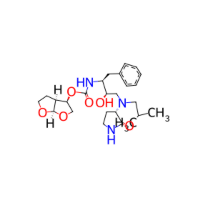 CC(C)CN(C[C@@H](O)[C@H](Cc1ccccc1)NC(=O)O[C@H]1CO[C@H]2OCC[C@H]21)[C@H]1CCNC1=O